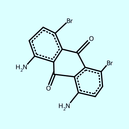 Nc1ccc(Br)c2c1C(=O)c1c(N)ccc(Br)c1C2=O